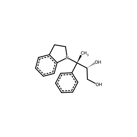 C[C@](c1ccccc1)([C@H](O)CO)N1CCc2ccccc21